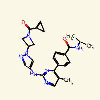 Cc1cnc(Nc2cnn(C3CN(C(=O)C4CC4)C3)c2)nc1-c1ccc(C(=O)N[C@@H](C)C#N)cc1